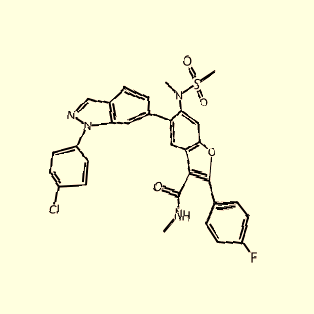 CNC(=O)c1c(-c2ccc(F)cc2)oc2cc(N(C)S(C)(=O)=O)c(-c3ccc4cnn(-c5ccc(Cl)cc5)c4c3)cc12